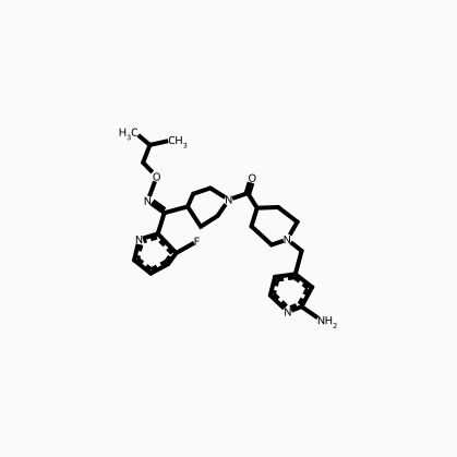 CC(C)CON=C(c1ncccc1F)C1CCN(C(=O)C2CCN(Cc3ccnc(N)c3)CC2)CC1